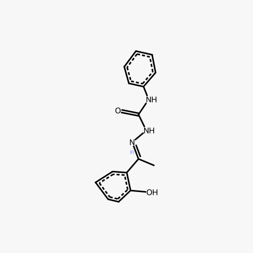 C/C(=N\NC(=O)Nc1ccccc1)c1ccccc1O